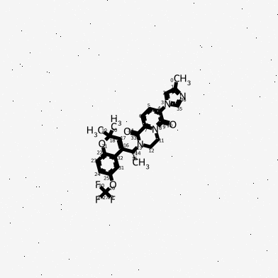 Cc1cn(-c2ccc3n(c2=O)CCN([C@H](C)C2=CC(C)(C)Oc4ccc(OC(F)(F)F)cc42)C3=O)cn1